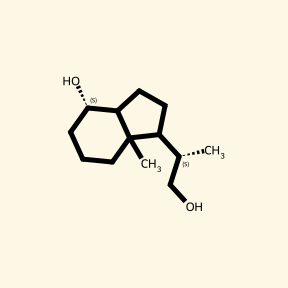 C[C@H](CO)C1CCC2[C@@H](O)CCCC12C